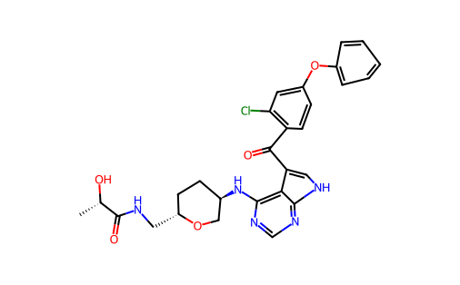 C[C@H](O)C(=O)NC[C@@H]1CC[C@@H](Nc2ncnc3[nH]cc(C(=O)c4ccc(Oc5ccccc5)cc4Cl)c23)CO1